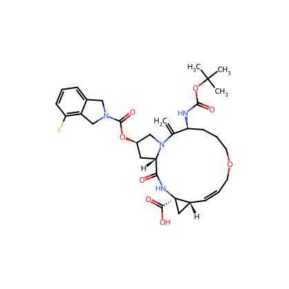 C=C1[C@@H](NC(=O)OC(C)(C)C)CCCOC/C=C\[C@@H]2C[C@@]2(C(=O)O)NC(=O)[C@@H]2C[C@@H](OC(=O)N3Cc4cccc(F)c4C3)CN12